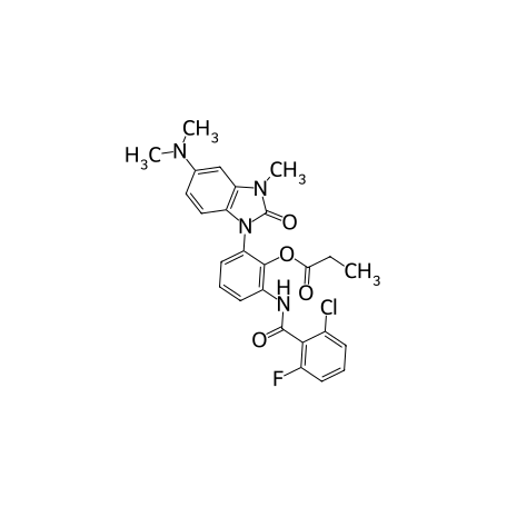 CCC(=O)Oc1c(NC(=O)c2c(F)cccc2Cl)cccc1-n1c(=O)n(C)c2cc(N(C)C)ccc21